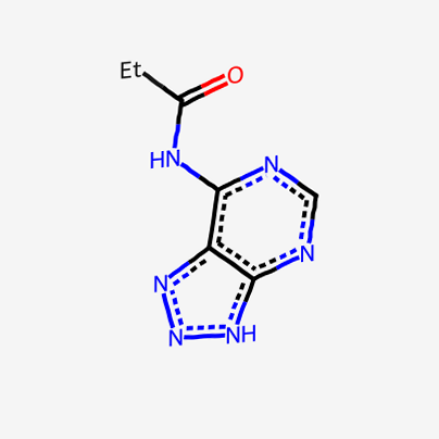 CCC(=O)Nc1ncnc2[nH]nnc12